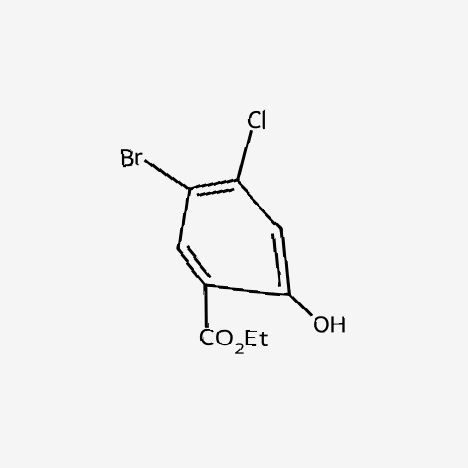 CCOC(=O)c1cc(Br)c(Cl)cc1O